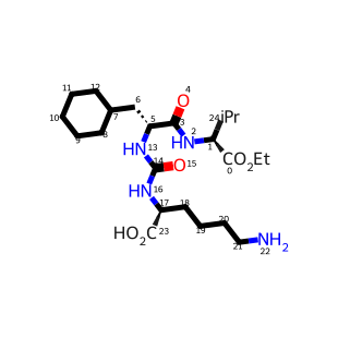 CCOC(=O)[C@@H](NC(=O)[C@@H](CC1CCCCC1)NC(=O)N[C@@H](CCCCN)C(=O)O)C(C)C